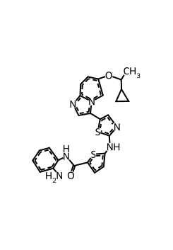 CC(Oc1ccc2ncc(-c3cnc(Nc4ccc(C(=O)Nc5ccccc5N)s4)s3)n2c1)C1CC1